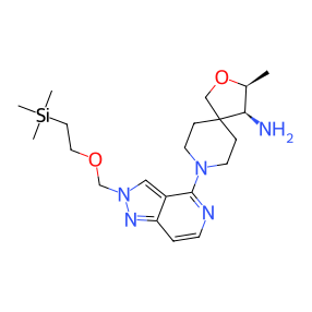 C[C@@H]1OCC2(CCN(c3nccc4nn(COCC[Si](C)(C)C)cc34)CC2)[C@@H]1N